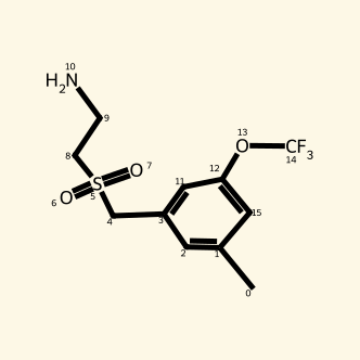 Cc1cc(CS(=O)(=O)CCN)cc(OC(F)(F)F)c1